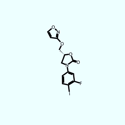 O=C1O[C@@H](COc2ccon2)CN1c1ccc(I)c(F)c1